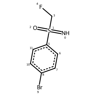 N=S(=O)(CF)c1ccc(Br)cc1